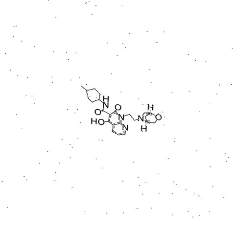 CC1CCC(NC(=O)c2c(O)c3cccnc3n(CCN3C[C@@H]4C[C@H]3CO4)c2=O)CC1